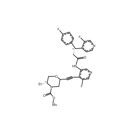 CC[C@@H]1COC(C#Cc2c(F)cncc2NC(=O)C[C@H](c2ccc(F)cc2)c2ccncc2F)CN1C(=O)OC(C)(C)C